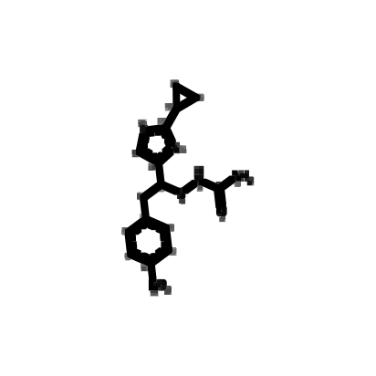 NC(=O)NSC(Cc1ccc([N+](=O)[O-])cc1)c1csc(C2CC2)n1